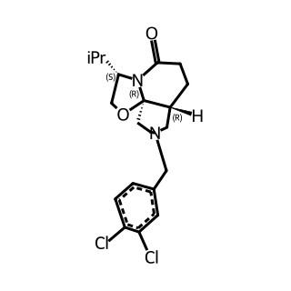 CC(C)[C@H]1CO[C@]23CCN(Cc4ccc(Cl)c(Cl)c4)C[C@H]2CCC(=O)N13